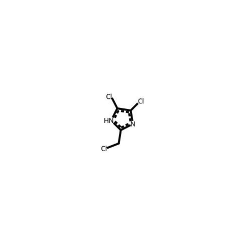 ClCc1nc(Cl)c(Cl)[nH]1